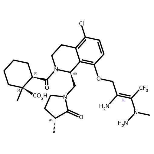 C[C@@H]1CCN(C[C@@H]2c3c(OC/C(N)=C(/N(C)N)C(F)(F)F)ccc(Cl)c3CCN2C(=O)[C@@H]2CCCC[C@]2(C)C(=O)O)C1=O